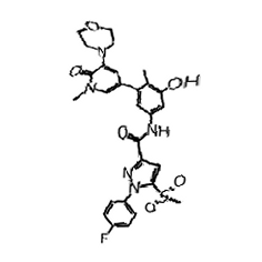 Cc1c(O)cc(NC(=O)c2cc(S(C)(=O)=O)n(-c3ccc(F)cc3)n2)cc1-c1cc(N2CCOCC2)c(=O)n(C)c1